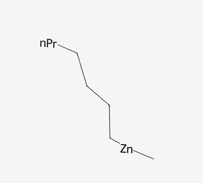 CCCCCC[CH2][Zn][CH3]